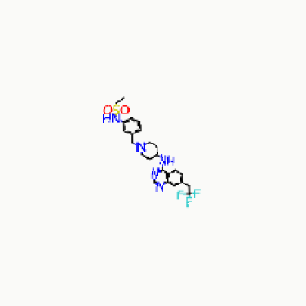 CCS(=O)(=O)Nc1cccc(CN2CCC(Nc3ncnc4cc(CC(F)(F)F)ccc34)CC2)c1